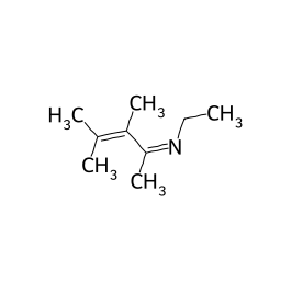 CC/N=C(/C)C(C)=C(C)C